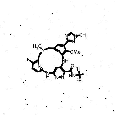 [2H]C([2H])([2H])NC(=O)c1nnc2cc1Nc1cc(cc(-c3ncn(C)n3)c1OC)CN(C)Cc1nc(ccc1F)N2